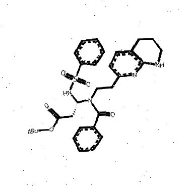 CC(C)(C)OC(=O)C[C@H](NS(=O)(=O)c1ccccc1)N(CCc1ccc2c(n1)NCCC2)C(=O)c1ccccc1